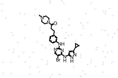 CN1CCN(C(=O)CCc2cccc(Nc3ncc(Br)c(Nc4cc(C5CC5)n[nH]4)n3)c2)CC1